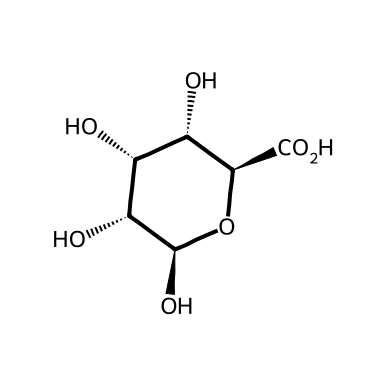 O=C(O)[C@H]1O[C@@H](O)[C@H](O)[C@H](O)[C@@H]1O